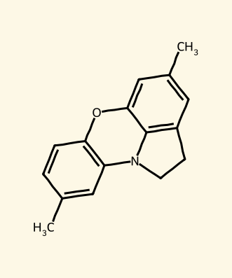 Cc1cc2c3c(c1)Oc1ccc(C)cc1N3CC2